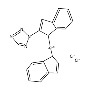 C1=C[CH]([Zr+2][CH]2C(n3ncnn3)=Cc3ccccc32)c2ccccc21.[Cl-].[Cl-]